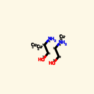 NCCO.NCCO.[Cu].[Cu].[Cu]